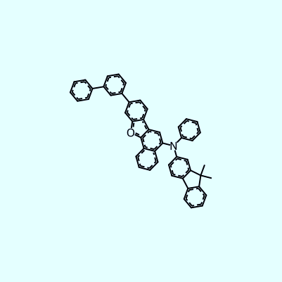 CC1(C)c2ccccc2-c2ccc(N(c3ccccc3)c3cc4c5ccc(-c6cccc(-c7ccccc7)c6)cc5oc4c4ccccc34)cc21